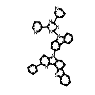 c1ccc(-c2ccc3c(n2)c2c4sc5ccccc5c4ccc2n3-c2ccc3c(c2)c2ccccc2n3-c2nc(-c3cccnc3)nc(-c3cccnc3)n2)cc1